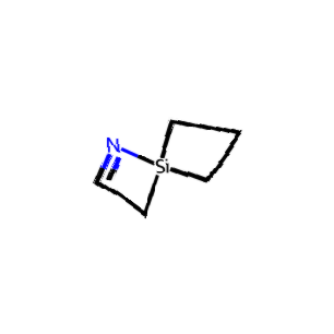 C1=N[Si]2(C1)CCC2